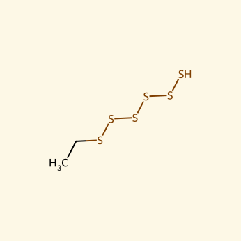 CCSSSSSS